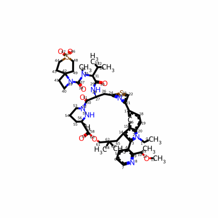 CCn1c(-c2cccnc2[C@H](C)OC)c2c3cc(ccc31)-c1csc(n1)C[C@H](NC(=O)C(C(C)C)N(C)C(=O)N1CCC13CCS(=O)(=O)CC3)C(=O)N1CCC[C@H](N1)C(=O)OCC(C)(C)C2